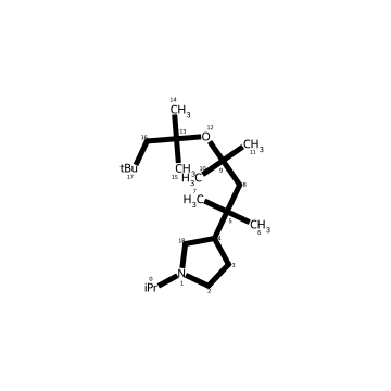 CC(C)N1CCC(C(C)(C)CC(C)(C)OC(C)(C)CC(C)(C)C)C1